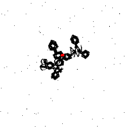 COc1cc2c3c(c4c(c2cc1OC)-c1ccccc1C4(C)C)C=CC(c1ccc(-c2ccccc2)cc1)(c1ccc(-c2nc(-c4ccccc4)nc(-c4ccccc4)n2)cc1)O3